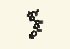 Cc1nc2ncc(-c3c[nH]c4nc(N[C@H]5CC[C@@]6(CCO6)CC5)ncc34)cc2n1CC(F)F